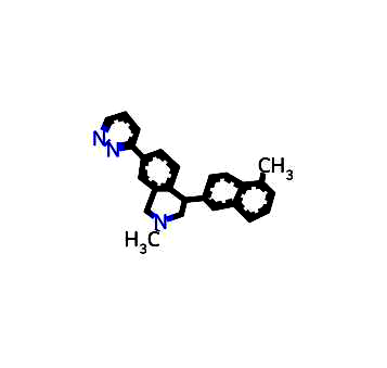 Cc1cccc2cc(C3CN(C)Cc4cc(-c5cccnn5)ccc43)ccc12